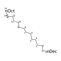 CCCCCCCCCCCCCCCCCCCCCCSCCCCCCCC